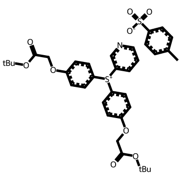 CC(C)(C)OC(=O)COc1ccc([S+](c2ccc(OCC(=O)OC(C)(C)C)cc2)c2cccnc2)cc1.Cc1ccc(S(=O)(=O)[O-])cc1